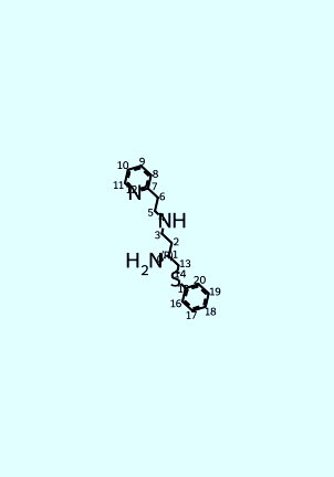 N[C@H](CCNCCc1ccccn1)CSc1ccccc1